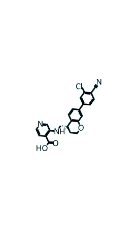 N#Cc1ccc(-c2ccc3c(c2)OCC[C@@H]3CNc2cnccc2C(=O)O)cc1Cl